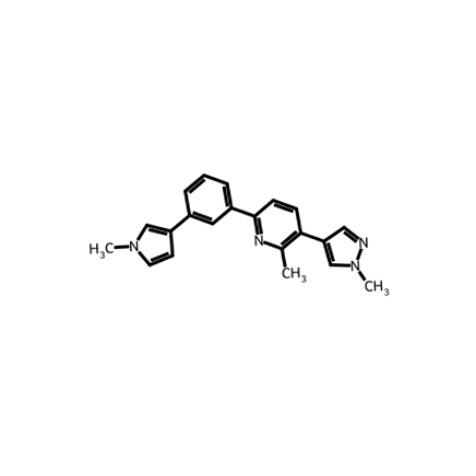 Cc1nc(-c2cccc(-c3ccn(C)c3)c2)ccc1-c1cnn(C)c1